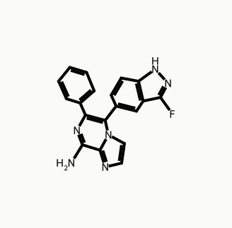 Nc1nc(-c2ccccc2)c(-c2ccc3[nH]nc(F)c3c2)n2ccnc12